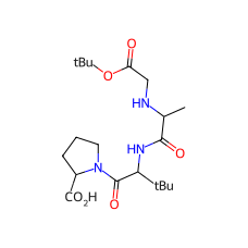 CC(NCC(=O)OC(C)(C)C)C(=O)NC(C(=O)N1CCCC1C(=O)O)C(C)(C)C